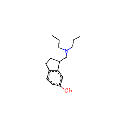 CCCN(CCC)CC1CCc2ccc(O)cc21